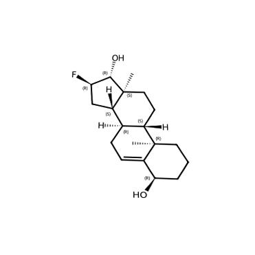 C[C@]12CC[C@H]3[C@@H](CC=C4[C@H](O)CCC[C@@]43C)[C@@H]1C[C@@H](F)[C@@H]2O